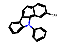 CC(C)(C)c1ccc2ccc3c4ccccc4n(-c4ccccc4)c3c2c1